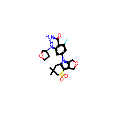 CC1(C)Cc2c(c3c(n2-c2cc(F)c(C(N)=O)c(N[C@H]4CCOC4)c2)COC3)S(=O)(=O)C1